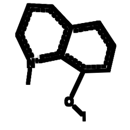 C[n+]1cccc2cccc(OI)c21